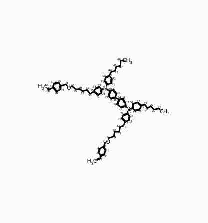 C=Cc1ccc(COCCCCCCc2ccc(N(c3ccc(CCCCCC)cc3)c3ccc(-c4ccc(N(c5ccc(CCCCCC)cc5)c5ccc(CCCCCCOCc6ccc(C=C)cc6)cc5)cc4)cc3)cc2)cc1